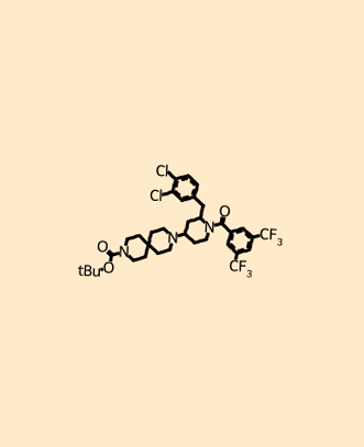 CC(C)(C)OC(=O)N1CCC2(CC1)CCN(C1CCN(C(=O)c3cc(C(F)(F)F)cc(C(F)(F)F)c3)C(Cc3ccc(Cl)c(Cl)c3)C1)CC2